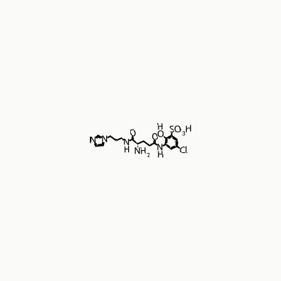 N[C@@H](CCC(=O)Nc1cc(Cl)cc(S(=O)(=O)O)c1O)C(=O)NCCCn1ccnc1